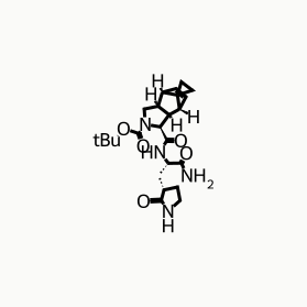 CC(C)(C)OC(=O)N1C[C@H]2[C@@H]([C@H]1C(=O)N[C@@H](C[C@@H]1CCNC1=O)C(N)=O)[C@H]1C=C[C@@H]2C12CC2